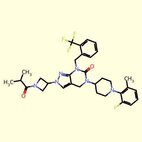 Cc1cccc(F)c1N1CCC(N2Cc3cn(C4CN(C(=O)C(C)C)C4)nc3N(Cc3ccccc3C(F)(F)F)C2=O)CC1